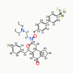 CCN(CC)CCN(OCc1ccc(-c2ccc(C(F)(F)F)cc2)cc1)C(=O)CC1C(CCc2ccc(F)cc2)=CC(=O)C2=C1CCC2